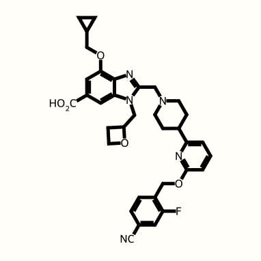 N#Cc1ccc(COc2cccc(C3CCN(Cc4nc5c(OCC6CC6)cc(C(=O)O)cc5n4CC4CCO4)CC3)n2)c(F)c1